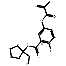 C=C(C)C(=O)Oc1ccc(O)c(C(=O)OC2(CC)CCCC2)c1